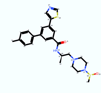 Cc1ccc(-c2cc(C(=O)N[C@H](C)CN3CCN([S+](C)[O-])CC3)cc(-c3cncs3)c2)cc1